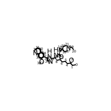 CCC(=O)CCCCC[C@H](NC(=O)[C@H]1CC12CCN(CC)CC2)c1ncc(-c2cc3cccnc3cc2OC)[nH]1